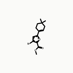 COC(=O)c1sc(C2=CCC(C)(C)CC2)cc1Br